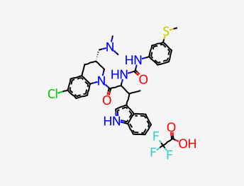 CSc1cccc(NC(=O)NC(C(=O)N2C[C@@H](CN(C)C)Cc3cc(Cl)ccc32)C(C)c2c[nH]c3ccccc23)c1.O=C(O)C(F)(F)F